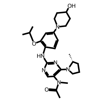 CC(=O)N(C)c1cnc(Nc2ccc(N3CCC(O)CC3)cc2OC(C)C)nc1N1CCC[C@H]1C